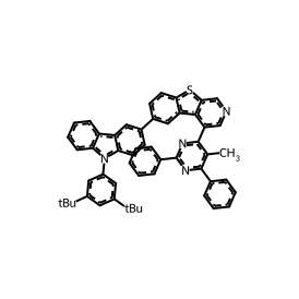 Cc1c(-c2ccccc2)nc(-c2ccccc2)nc1-c1cncc2sc3ccc(-c4ccc5c(c4)c4ccccc4n5-c4cc(C(C)(C)C)cc(C(C)(C)C)c4)cc3c12